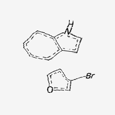 Brc1ccoc1.c1ccc2[nH]ccc2c1